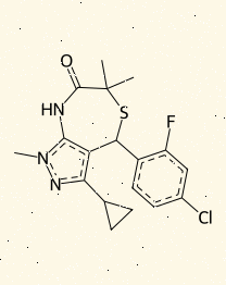 Cn1nc(C2CC2)c2c1NC(=O)C(C)(C)SC2c1ccc(Cl)cc1F